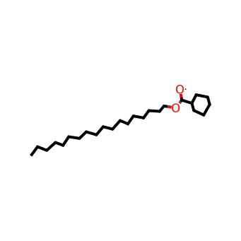 CCCCCCCCCCCCCCCCCCOC([O])C1CCCCC1